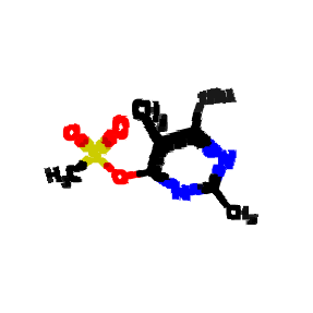 Cc1nc(OS(C)(=O)=O)c(C)c(C(C)(C)C)n1